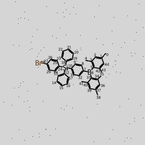 Cc1cc(C)c(B(c2ccc([Si](c3ccccc3)(c3ccccc3)c3ccc(Br)cc3)cc2)c2c(C)cc(C)cc2C)c(C)c1